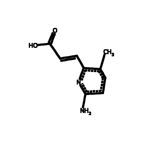 Cc1ccc(N)nc1/C=C/C(=O)O